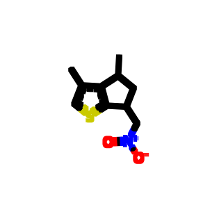 Cc1csc2c1C(C)CC2C[N+](=O)[O-]